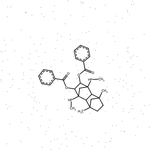 CPC12CC(PC)(C(OC(=O)c3ccccc3)C1OC(=O)c1ccccc1)C1C2C2(C)CCC1(C)C2